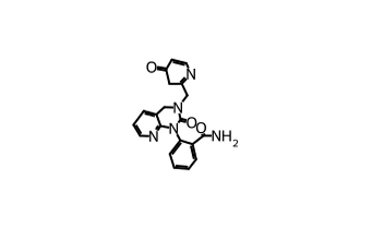 NC(=O)c1ccccc1N1C(=O)N(CC2=NC=CC(=O)C2)Cc2cccnc21